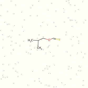 CC(C)COC=S